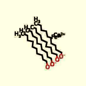 CCCCCCCCCC[O-].CCCCCCCCCC[O-].CCCCCCCCCC[O-].CCCCCCCCCC[O-].[Co+2].[Fe+2]